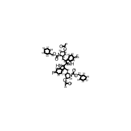 CC(=O)O[C@H]1CC(Cc2c(-c3[nH]c4cc(F)ccc4c3C[C@@H]3C[C@H](OC(C)=O)CN3C(=O)OCc3ccccc3)[nH]c3cc(F)ccc23)N(C(=O)OCc2ccccc2)C1